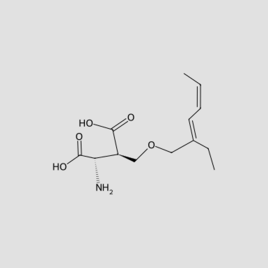 C/C=C\C=C(/CC)COC[C@H](C(=O)O)[C@H](N)C(=O)O